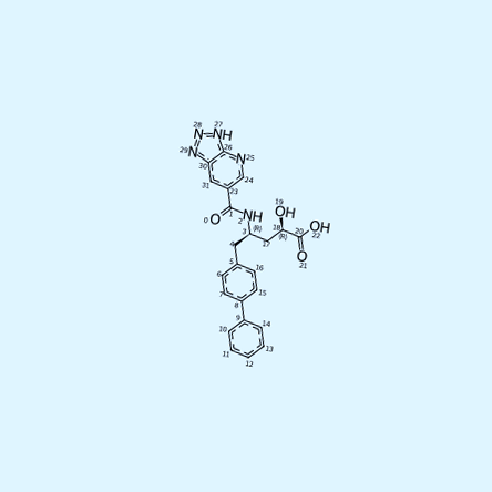 O=C(N[C@H](Cc1ccc(-c2ccccc2)cc1)C[C@@H](O)C(=O)O)c1cnc2[nH]nnc2c1